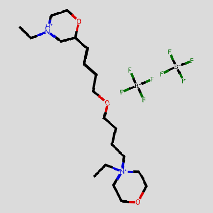 CC[NH+]1CCOC(CCCCOCCCC[N+]2(CC)CCOCC2)C1.F[B-](F)(F)F.F[B-](F)(F)F